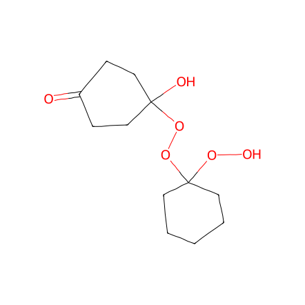 O=C1CCC(O)(OOC2(OO)CCCCC2)CC1